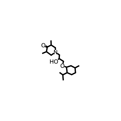 CC1CCC(C(C)C)C(OCC(O)CN2CC(C)C(=O)C(C)C2)C1